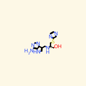 Nc1ncnc2c(CN[C@H](CO)CSc3cnccn3)c[nH]c12